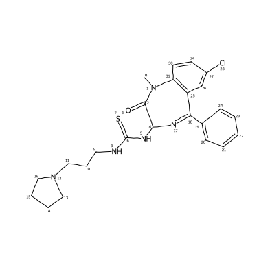 CN1C(=O)C(NC(=S)NCCCN2CCCC2)N=C(c2ccccc2)c2cc(Cl)ccc21